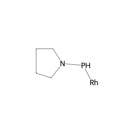 [Rh][PH]N1CCCC1